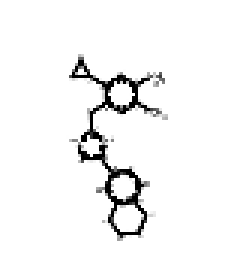 Cc1cc(Cc2nc(-c3ccc4c(c3)CCCC4)cs2)c(C2CC2)cc1N